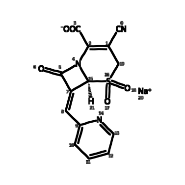 N#CC1=C(C(=O)[O-])N2C(=O)/C(=C/c3ccccn3)[C@@H]2S(=O)(=O)C1.[Na+]